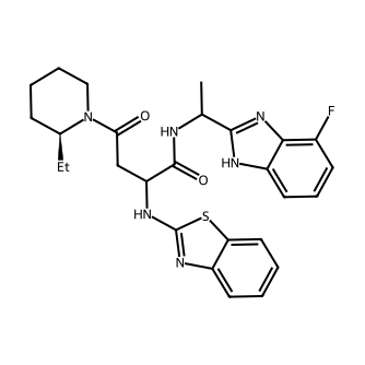 CC[C@H]1CCCCN1C(=O)CC(Nc1nc2ccccc2s1)C(=O)NC(C)c1nc2c(F)cccc2[nH]1